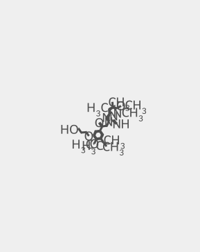 COc1c(OCCCO)cc(C(=O)Cn2nc3c(C)c(C)c(OC(C)C)nn3c2=N)cc1C(C)(C)C